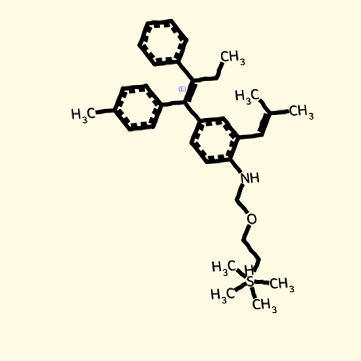 CC/C(=C(/c1ccc(C)cc1)c1ccc(NCOCC[SH](C)(C)(C)C)c(C=C(C)C)c1)c1ccccc1